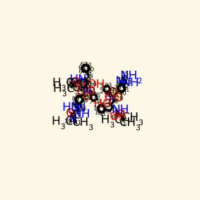 CC(C)(C)OC(=O)NC(Cc1ccccc1)C(O)CN(OC1CCCC1)S(=O)(=O)c1ccc2[nH]c(N)nc2c1.CN(C)C(=O)Nc1nc2cc(S(=O)(=O)N(C[C@@H](O)[C@H](Cc3ccccc3)NC(=O)OC(C)(C)C)OC3CCCC3)ccc2[nH]1